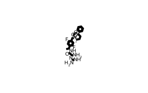 CC(NC(=O)/C(N)=N/C(=N)N)c1cc(F)c(CN2[C@@H](C)CC[C@H](c3ccccc3)S2(=O)=O)cc1F